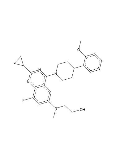 COc1ccccc1C1CCN(c2nc(C3CC3)nc3c(F)cc(N(C)CCO)cc23)CC1